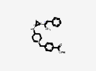 COC(=O)c1ccc(CN2CCC(N[C@@H]3C[C@H]3/C(C)=C/c3ccccc3)CC2)cc1